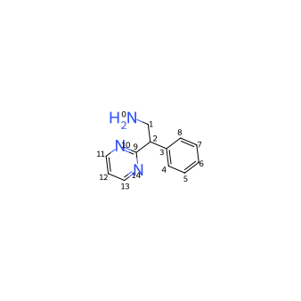 NCC(c1ccccc1)c1ncccn1